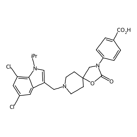 CC(C)n1cc(CN2CCC3(CC2)CN(c2ccc(C(=O)O)cc2)C(=O)O3)c2cc(Cl)cc(Cl)c21